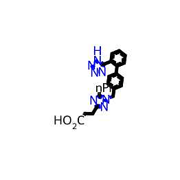 CCCc1nc(CCC(=O)O)nn1Cc1ccc(-c2ccccc2-c2nnn[nH]2)cc1